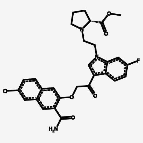 COC(=O)[C@H]1CCCN1CCn1cc(C(=O)COc2cc3ccc(Cl)cc3cc2C(N)=O)c2ccc(F)cc21